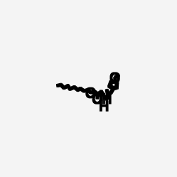 CCCCCCCCCCOCC(O)CNC(C)(C)Cc1ccc(OC)cc1